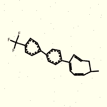 CC1\C=C/C=C(c2ccc(-c3ccc(C(F)(F)F)cc3)cc2)\C=C\C1